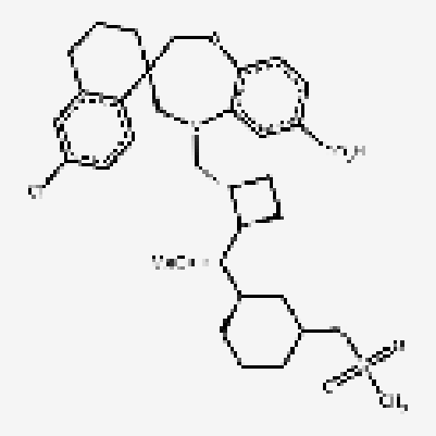 CO[C@@H]([C@@H]1CCC[C@H](OS(C)(=O)=O)C1)[C@@H]1CC[C@H]1CN1C[C@@]2(CCCc3cc(Cl)ccc32)COc2ccc(C(=O)O)cc21